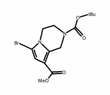 COC(=O)c1cc(Br)n2c1CN(C(=O)OC(C)(C)C)CC2